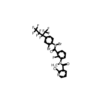 CN(C(=O)c1cccnc1Cl)c1cccc(C(=O)N(Br)c2ccc(C(F)(C(F)(F)F)C(F)(F)C(F)(F)F)cc2Br)c1F